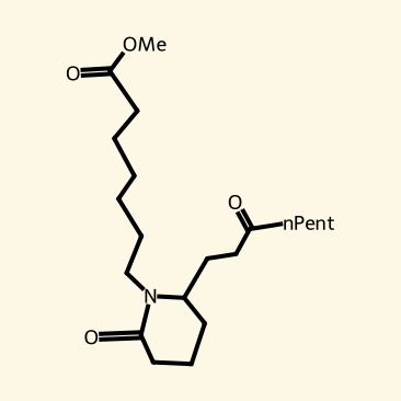 CCCCCC(=O)CCC1CCCC(=O)N1CCCCCCC(=O)OC